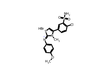 Br.COc1ccc(/N=c2/scc(-c3ccc(Cl)c(S(N)(=O)=O)c3)n2C)cc1